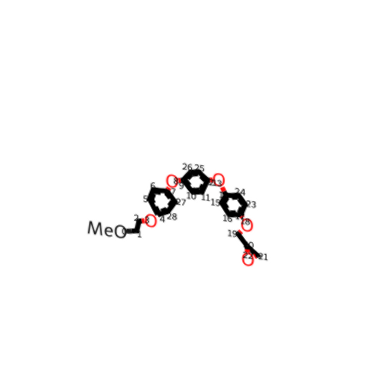 COCCOc1ccc(Oc2ccc(Oc3ccc(OCC4CO4)cc3)cc2)cc1